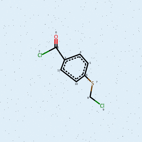 O=C(Cl)c1ccc(SCCl)cc1